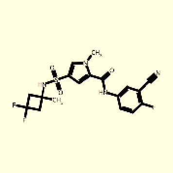 Cn1cc(S(=O)(=O)NC2(C)CC(F)(F)C2)cc1C(=O)Nc1ccc(F)c(C#N)c1